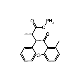 Cc1cccc(Cl)c1C(=O)C(c1ccccc1)C(C)C(=O)OP